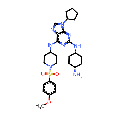 COc1ccc(S(=O)(=O)N2CCC(Nc3nc(N[C@H]4CC[C@H](N)CC4)nc4c3ncn4C3CCCC3)CC2)cc1